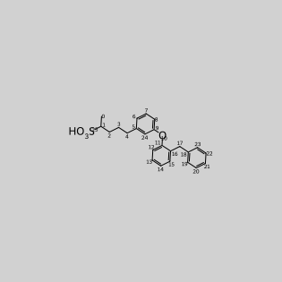 CC(CCCc1cccc(Oc2ccccc2Cc2ccccc2)c1)S(=O)(=O)O